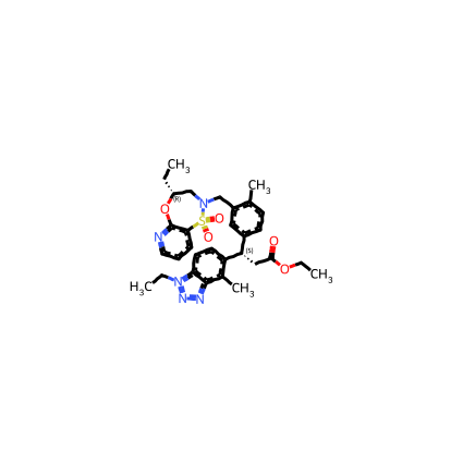 CCOC(=O)C[C@@H](c1ccc(C)c(CN2C[C@@H](CC)Oc3ncccc3S2(=O)=O)c1)c1ccc2c(nnn2CC)c1C